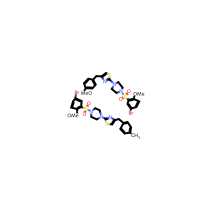 COc1ccc(Br)cc1S(=O)(=O)N1CCN(c2nc(Cc3ccc(C)cc3)cs2)CC1.COc1ccc(Cc2csc(N3CCN(S(=O)(=O)c4cc(Br)ccc4OC)CC3)n2)cc1